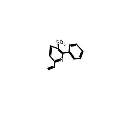 C=Cc1ccc([N+](=O)[O-])c(-c2ccccc2)n1